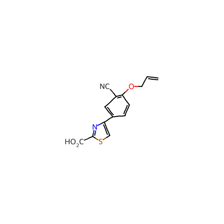 C=CCOc1ccc(-c2csc(C(=O)O)n2)cc1C#N